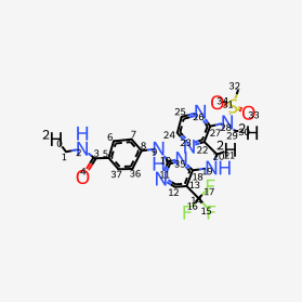 [2H]CNC(=O)c1ccc(Nc2ncc(C(F)(F)F)c(NC([2H])c3nccnc3N(C[2H])S(C)(=O)=O)n2)cc1